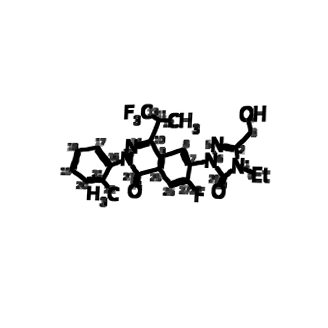 CCn1c(CO)nn(-c2cc3c(C(C)C(F)(F)F)nn(-c4ccccc4C)c(=O)c3cc2F)c1=O